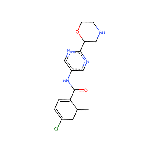 CC1CC(Cl)=CC=C1C(=O)Nc1cnc(C2CNCCO2)nc1